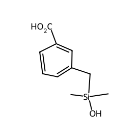 C[Si](C)(O)Cc1cccc(C(=O)O)c1